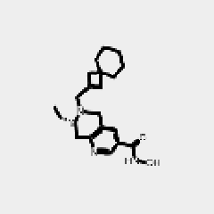 CC[C@H]1Cc2ncc(C(=O)NO)cc2CN1CC1CC2(CCCCC2)C1